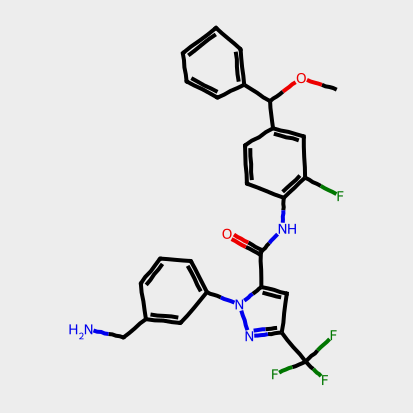 COC(c1ccccc1)c1ccc(NC(=O)c2cc(C(F)(F)F)nn2-c2cccc(CN)c2)c(F)c1